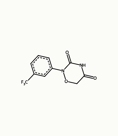 O=C1CON(c2cccc(C(F)(F)F)c2)C(=O)N1